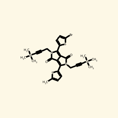 Cc1ccc(C2=C3C(=O)N(CC#C[Si](C)(C)C)C(c4ccc(Br)s4)=C3C(=O)N2CC#C[Si](C)(C)C)s1